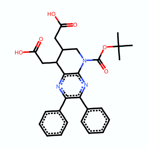 CC(C)(C)OC(=O)N1CC(CC(=O)O)C(CC(=O)O)c2nc(-c3ccccc3)c(-c3ccccc3)nc21